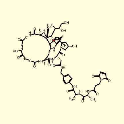 CC[C@H](C)[C@@H]1NC(=O)CNC(=O)[C@@H]2CCc3c([nH]c4ccccc34)SC[C@H](NC(=O)CNC1=O)C(=O)N[C@@H](CC(=O)NCc1ccc(NC(=O)[C@H](C)NC(=O)[C@H](C)NC(=O)CCN3C(=O)C=CC3=O)cc1)C(=O)N1C[C@H](O)C[C@H]1C(=O)N[C@@H]([C@@H](C)[C@@H](O)CO)C(=O)N2